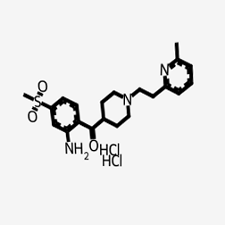 Cc1cccc(CCN2CCC(C(=O)c3ccc(S(C)(=O)=O)cc3N)CC2)n1.Cl.Cl